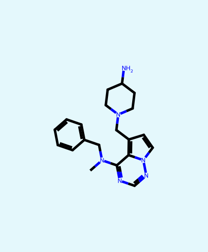 CN(Cc1ccccc1)c1ncnn2ccc(CN3CCC(N)CC3)c12